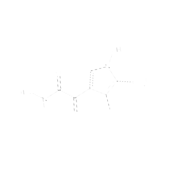 Cn1cc(C(=O)C(=O)NC(C)(C)C)c(F)c1C(=O)O